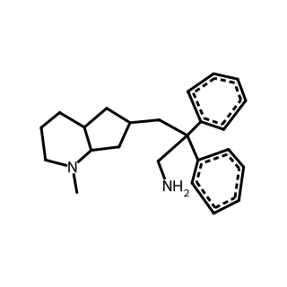 CN1CCCC2CC(CC(CN)(c3ccccc3)c3ccccc3)CC21